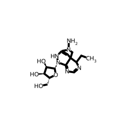 CCC1N=CN=C2N([C@@H]3O[C@H](CO)[C@@H](O)[C@H]3O)NC3=CC21CN3N